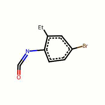 CCc1cc(Br)ccc1N=C=O